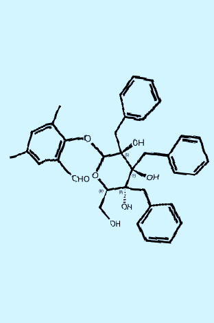 Cc1cc(C)c(OC2O[C@H](CO)[C@](O)(Cc3ccccc3)[C@@](O)(Cc3ccccc3)[C@@]2(O)Cc2ccccc2)c(C=O)c1